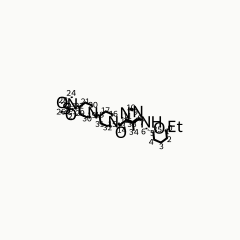 CC[C@@H]1CCC[C@H](CNc2ncnc(C(=O)N3CCC(N4CCC(N(C)S(C)(=O)=O)CC4)CC3)c2C)O1